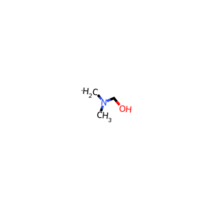 [CH2]N(C)CO